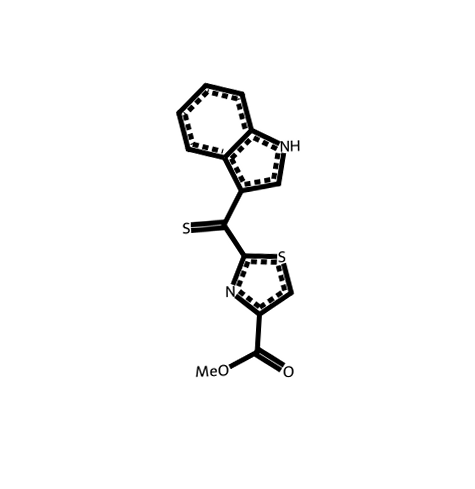 COC(=O)c1csc(C(=S)c2c[nH]c3ccccc23)n1